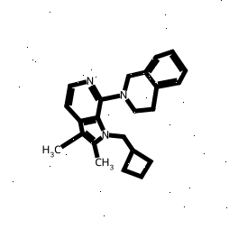 Cc1c(C)n(CC2CCC2)c2c(N3CCc4ccccc4C3)nccc12